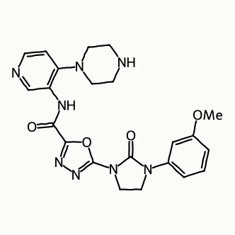 COc1cccc(N2CCN(c3nnc(C(=O)Nc4cnccc4N4CCNCC4)o3)C2=O)c1